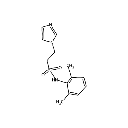 Cc1cccc(C)c1NS(=O)(=O)CCn1ccnc1